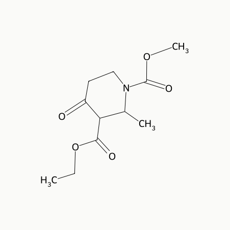 CCOC(=O)C1C(=O)CCN(C(=O)OC)C1C